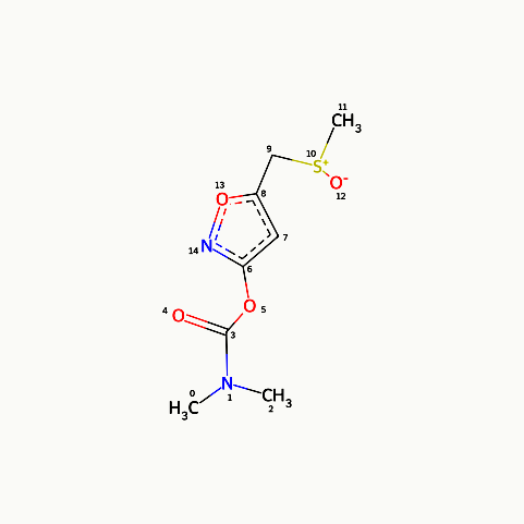 CN(C)C(=O)Oc1cc(C[S+](C)[O-])on1